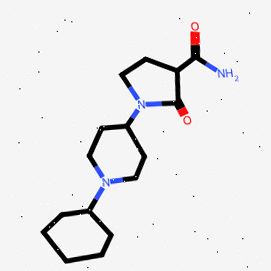 NC(=O)C1CCN(C2CCN(C3CCCCC3)CC2)C1=O